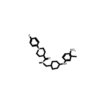 Cc1cc(NC2CCC(CN(C)C(=O)C3CCN(c4ccc(F)cc4)CC3)CC2)ccc1[N+](=O)[O-]